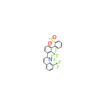 CS(=O)(=O)c1ccccc1-c1cccc(-c2ccc3cccc(C(F)(F)F)c3n2)c1C(F)(F)F